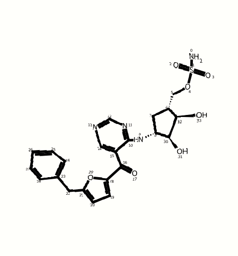 NS(=O)(=O)OC[C@H]1C[C@@H](Nc2ncncc2C(=O)c2ccc(Cc3ccccc3)o2)[C@H](O)[C@@H]1O